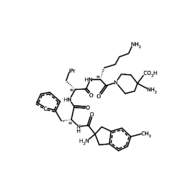 Cc1ccc2c(c1)CC(N)(C(=O)N[C@H](Cc1ccccc1)C(=O)N[C@H](CC(C)C)C(=O)N[C@H](CCCCN)C(=O)N1CCC(N)(C(=O)O)CC1)C2